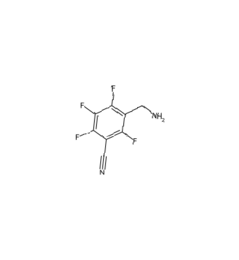 N#Cc1c(F)c(F)c(F)c(CN)c1F